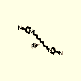 N#Cc1cc[n+](CCCCCCCCCC[n+]2ccc(C#N)cc2)cc1.[Br-].[Br-]